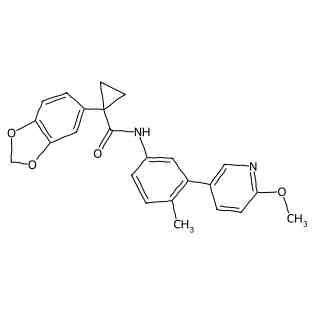 COc1ccc(-c2cc(NC(=O)C3(c4ccc5c(c4)OCO5)CC3)ccc2C)cn1